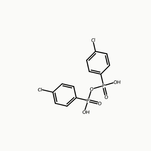 O=P(O)(OP(=O)(O)c1ccc(Cl)cc1)c1ccc(Cl)cc1